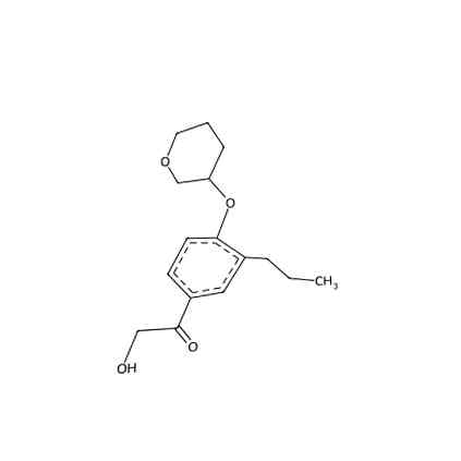 CCCc1cc(C(=O)CO)ccc1OC1CCCOC1